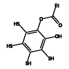 CCC(=O)Oc1c(O)c(S)c(S)c(S)c1S